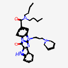 CCCCN(CCCC)C(=O)c1ccc2c(c1)n(CCCN1CCCCC1)c1nc3c([nH]c4ccccc43)c(=O)n21